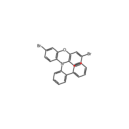 Brc1ccc2c(c1)Oc1cc(Br)ccc1N2c1ccccc1-c1ccccc1